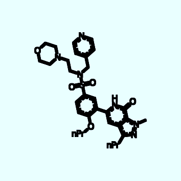 CCCOc1ccc(S(=O)(=O)N(CCN2CCOCC2)Cc2ccncc2)cc1-c1cc2c(CCC)nn(C)c2c(=O)[nH]1